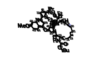 CCOP(=O)(OCC)[C@@]12C[C@H]1/C=C\CCCCC[C@H](NC(=O)OC(C)(C)C)C(=O)N1C[C@H](Oc3cc(-c4csc(NC(C)C)n4)nc4cc(OC)ccc34)C[C@H]1C(=O)N2